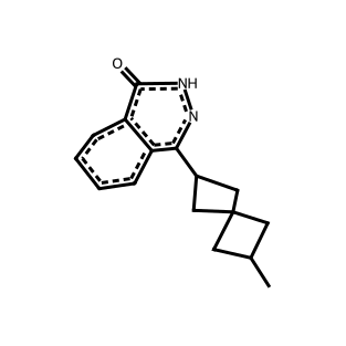 CC1CC2(C1)CC(c1n[nH]c(=O)c3ccccc13)C2